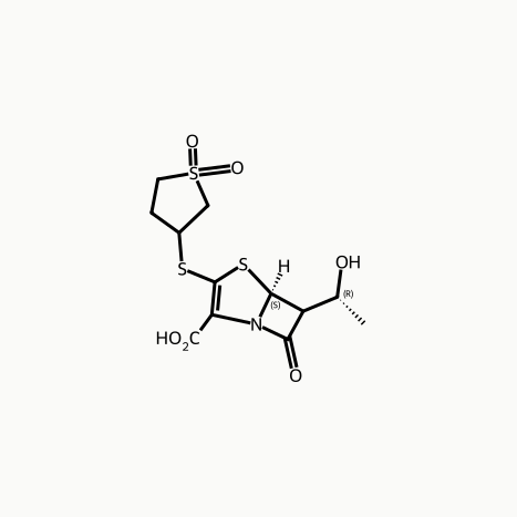 C[C@@H](O)C1C(=O)N2C(C(=O)O)=C(SC3CCS(=O)(=O)C3)S[C@@H]12